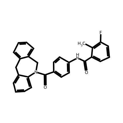 Cc1c(F)cccc1C(=O)Nc1ccc(C(=O)N2Cc3ccccc3Cc3ccccc32)cc1